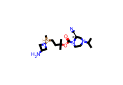 CC(C)N1CCN(C(=O)OC(C)(C)CC[SH](C)N2CC(N)C2)[C@@H](C#N)C1